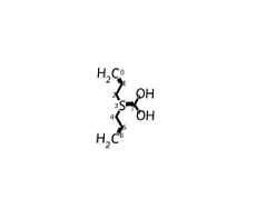 C=CCS(CC=C)=C(O)O